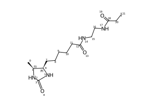 C[C@@H]1NC(=O)N[C@@H]1CCCCCC(=O)NCCNC(=O)CI